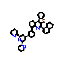 c1ccc(-c2cc(-c3cccc(-c4cccc5c4nc(-c4cccc6ccccc46)c4sc6ccccc6c45)c3)cc(-c3ccccn3)n2)nc1